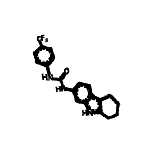 O=C(Nc1ccc(C(F)(F)F)cc1)Nc1ccc2c3c([nH]c2c1)CCCC3